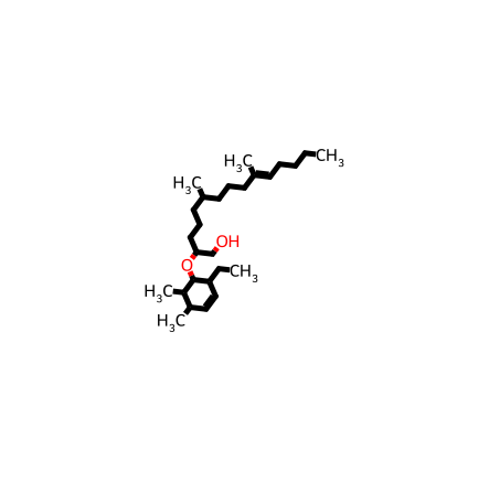 CCCC/C=C(\C)CCCC(C)CCCC(CO)OC1C(CC)C=CC(C)C1C